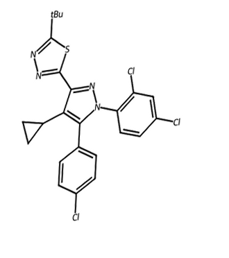 CC(C)(C)c1nnc(-c2nn(-c3ccc(Cl)cc3Cl)c(-c3ccc(Cl)cc3)c2C2CC2)s1